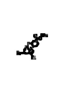 CCc1cn([C@@H]2CCN(C(=O)OC(C)(C)C)C[C@@H]2F)c2ncc(Br)cc12